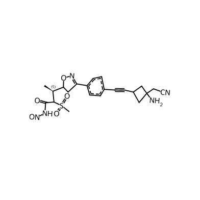 C[C@@H](C1CC(c2ccc(C#CC3CC(N)(CC#N)C3)cc2)=NO1)C(C(=O)NN=O)S(C)(=O)=O